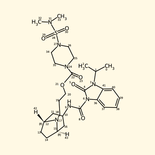 CC(C)n1c(=O)n(C(=O)NC2C[C@H]3CC[C@H](C2)N3CCCOC(=O)N2CCN(S(=O)(=O)N(C)C)CC2)c2ccccc21